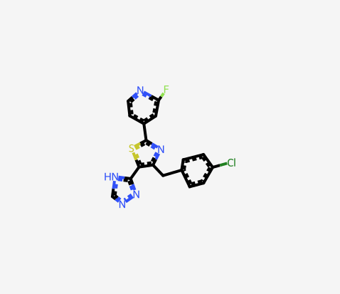 Fc1cc(-c2nc(Cc3ccc(Cl)cc3)c(-c3nnc[nH]3)s2)ccn1